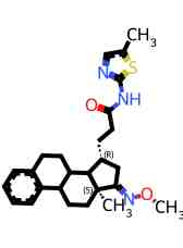 CON=C1C[C@@H](CCC(=O)Nc2ncc(C)s2)C2C3CCc4c[c]ccc4C3CC[C@]12C